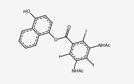 CC(=O)Nc1c(I)c(NC(C)=O)c(I)c(C(=O)Oc2ccc(O)c3ccccc23)c1I